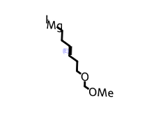 COCOCC/C=C/C[CH2][Mg][I]